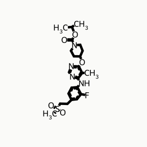 Cc1c(Nc2ccc(CCS(C)(=O)=O)cc2F)ncnc1OC1CCN(C(=O)OC(C)C)CC1